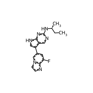 CC[C@H](C)Nc1ncc2c(-c3cc(F)c4nccn4c3)c[nH]c2n1